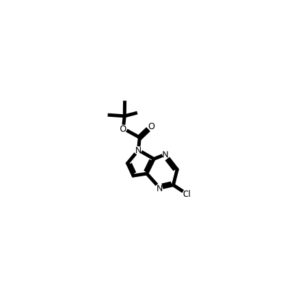 CC(C)(C)OC(=O)n1ccc2nc(Cl)cnc21